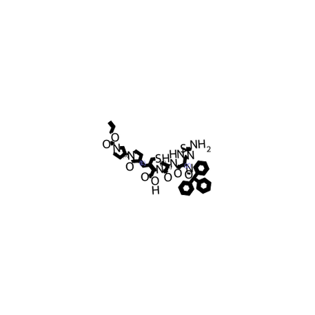 C=CCOC(=O)N1CC[C@H](N2CC/C(=C\C3=C(C(=O)O)N4C(=O)[C@@H](NC(=O)/C(=N\OC(c5ccccc5)(c5ccccc5)c5ccccc5)c5nsc(N)n5)[C@H]4SC3)C2=O)C1